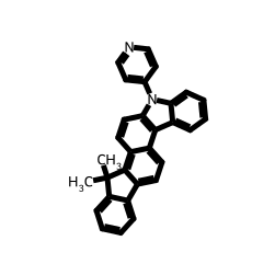 CC1(C)c2ccccc2-c2ccc3c(ccc4c3c3ccccc3n4-c3ccncc3)c21